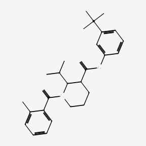 Cc1ccccc1C(=O)N1CCCC(C(=O)Nc2cccc(C(C)(C)C)c2)C1C(C)C